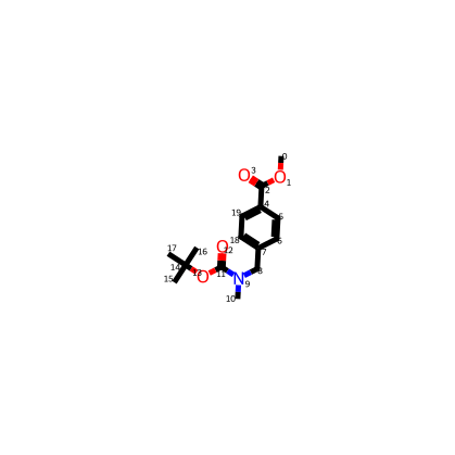 COC(=O)c1ccc(CN(C)C(=O)OC(C)(C)C)cc1